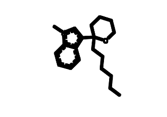 CCCCCCC1(c2cn(C)c3ccccc23)CCCCO1